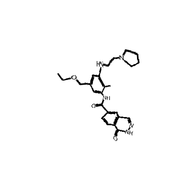 CCOCc1cc(NCCN2CCCC2)c(C)c(NC(=O)c2ccc3c(=O)[nH]ncc3c2)c1